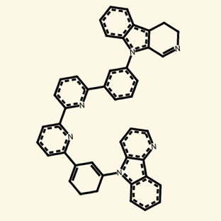 C1=NCCc2c1n(-c1cccc(-c3cccc(-c4cccc(C5=CCCC(n6c7ccccc7c7ncccc76)=C5)n4)n3)c1)c1ccccc21